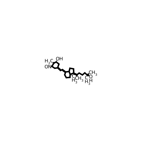 C=C1C(N=O)C/C(=C/C=C2\CCC[C@]3(C)/C(=C(\C)CCCC(C)(C)O)CCC23)C[C@H]1O